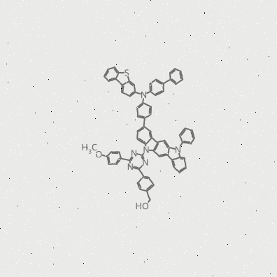 COc1ccc(-c2nc(-c3ccc(CO)cc3)nc(-n3c4ccc(-c5ccc(N(c6ccc(-c7ccccc7)cc6)c6ccc7c(c6)sc6ccccc67)cc5)cc4c4cc5c(cc43)c3ccccc3n5-c3ccccc3)n2)cc1